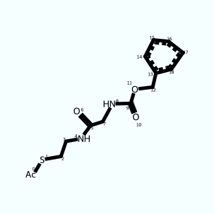 CC(=O)SCCNC(=O)CNC(=O)OCc1ccccc1